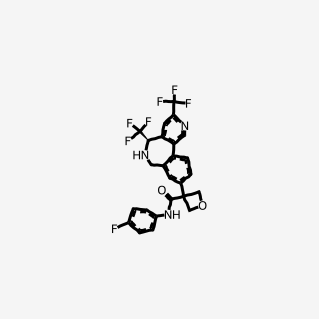 O=C(Nc1ccc(F)cc1)C1(c2ccc3c(c2)CN[C@@H](C(F)(F)F)c2cc(C(F)(F)F)ncc2-3)COC1